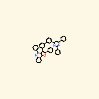 c1ccc(-c2cc(-c3cccc(-c4cccc(-c5c(-c6ccccc6)oc6c5c(-c5ccccc5)nc5ccccc56)c4)c3)nc(-c3ccccc3)n2)cc1